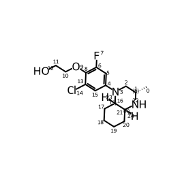 C[C@H]1CN(c2cc(F)c(OCCO)c(Cl)c2)[C@H]2CCCC[C@H]2N1